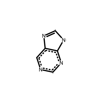 [C]1=Nc2cn[c]nc2[N]1